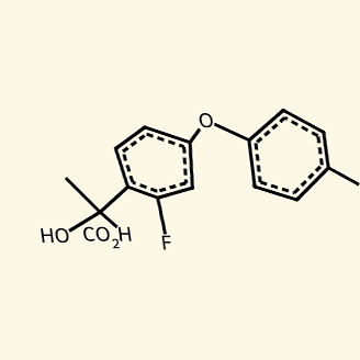 CC(O)(C(=O)O)c1ccc(Oc2ccc(Cl)cc2)cc1F